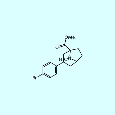 COC(=O)C12CCC(CC(c3ccc(Br)cc3)C1)N2C